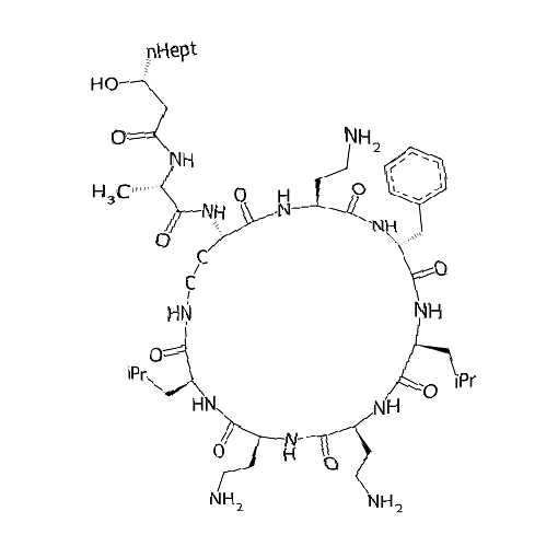 CCCCCCC[C@@H](O)CC(=O)N[C@@H](C)C(=O)N[C@H]1CCNC(=O)[C@H](CC(C)C)NC(=O)[C@H](CCN)NC(=O)[C@H](CCN)NC(=O)[C@H](CC(C)C)NC(=O)[C@@H](Cc2ccccc2)NC(=O)[C@H](CCN)NC1=O